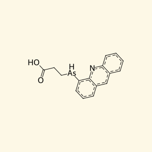 O=C(O)CC[AsH]c1cccc2cc3ccccc3nc12